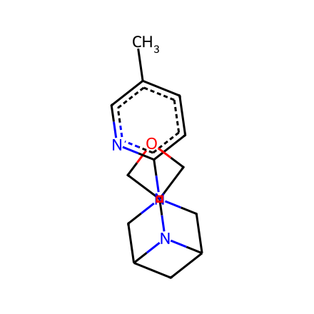 Cc1ccc(N2CC3CC(C2)N3C2COC2)nc1